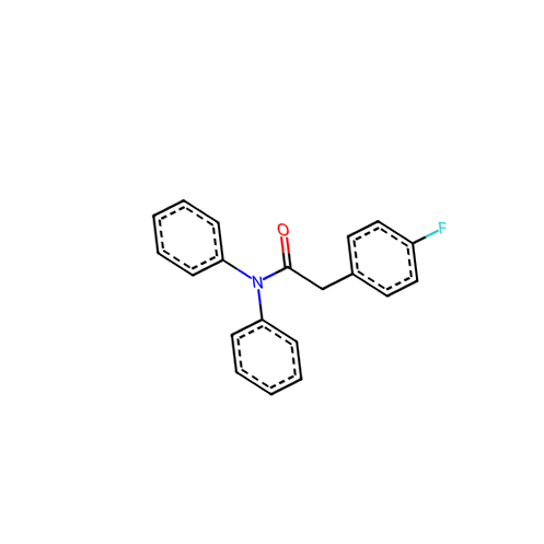 O=C(Cc1ccc(F)cc1)N(c1ccccc1)c1ccccc1